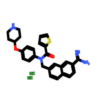 Cl.Cl.N=C(N)c1ccc2ccc(CN(C(=O)c3cccs3)c3ccc(OC4CCNCC4)cc3)cc2c1